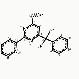 CNc1cc(C(F)(F)c2ccccc2)nc(-c2ccccn2)n1